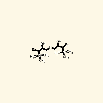 CCC(C(O)COCC(O)C(CC)[N+](C)(C)C)[N+](C)(C)C